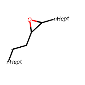 [CH2]CCCCCCC1OC1C[CH]CCCCCCC